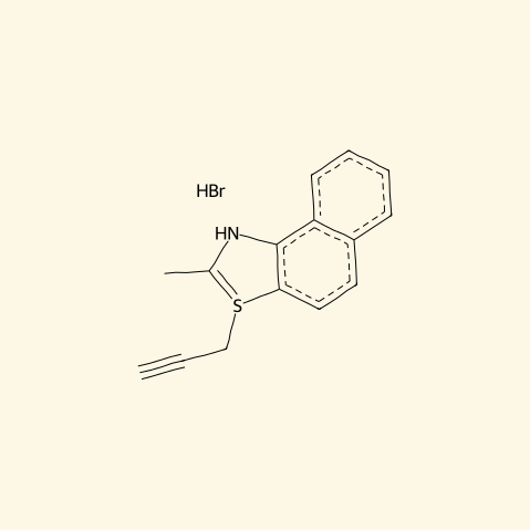 Br.C#CCS1=C(C)Nc2c1ccc1ccccc21